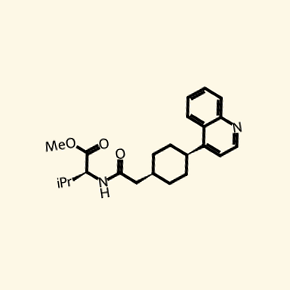 COC(=O)[C@@H](NC(=O)C[C@H]1CC[C@@H](c2ccnc3ccccc32)CC1)C(C)C